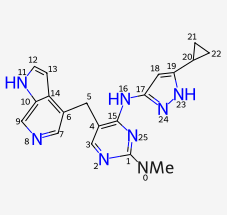 CNc1ncc(Cc2cncc3[nH]ccc23)c(Nc2cc(C3CC3)[nH]n2)n1